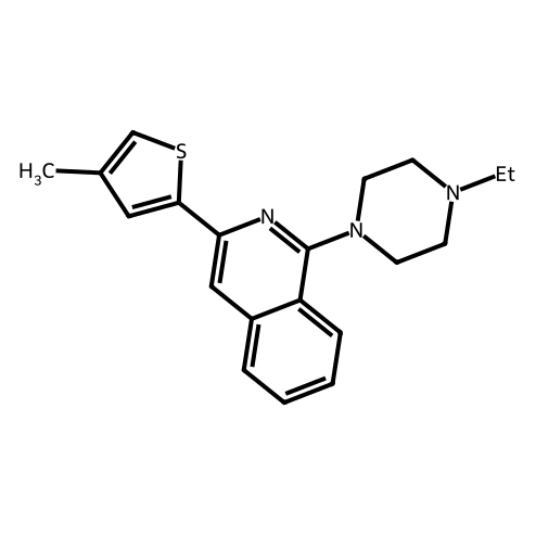 CCN1CCN(c2nc(-c3cc(C)cs3)cc3ccccc23)CC1